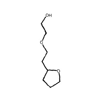 OCCOCCC1CCCO1